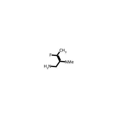 CN/C(CN)=C(\C)F